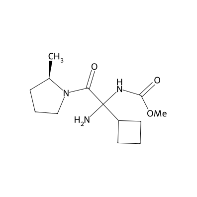 COC(=O)NC(N)(C(=O)N1CCC[C@H]1C)C1CCC1